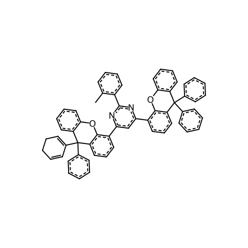 Cc1ccccc1-c1nc(-c2cccc3c2Oc2ccccc2C3(C2=CCCC=C2)c2ccccc2)cc(-c2cccc3c2Oc2ccccc2C3(c2ccccc2)c2ccccc2)n1